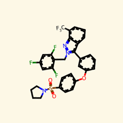 O=S(=O)(c1ccc(Oc2cccc(-c3c4cccc(C(F)(F)F)c4nn3Cc3c(F)cc(F)cc3F)c2)cc1)N1CCCC1